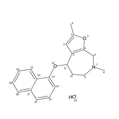 Cc1cc2c(o1)CN(C)CCC2Oc1cccc2ccccc12.Cl